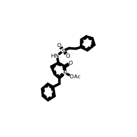 CC(=O)On1c(Cc2ccccc2)ccc(NS(=O)(=O)CCc2ccccc2)c1=O